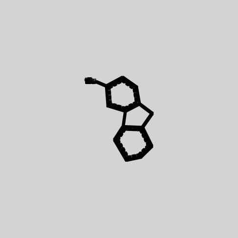 CC(C)(C)c1ccc2c(c1)-c1ccccc1C2